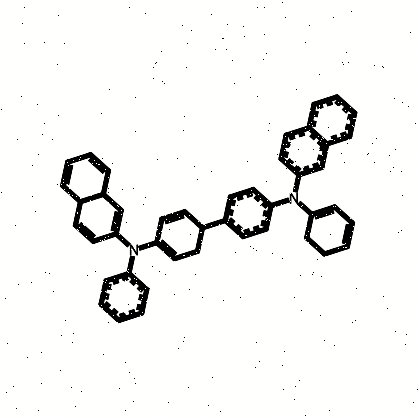 C1=CCCC(N(c2ccc(C3C=CC(N(C4=CC5C=CC=CC5C=C4)c4ccccc4)=CC3)cc2)c2ccc3ccccc3c2)=C1